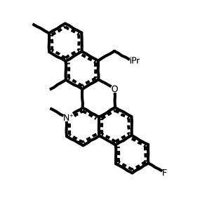 Cc1ccc2c(CC(C)C)c3c(c(C)c2c1)-c1c2c(cc4cc(F)ccc4c2cc[n+]1C)O3